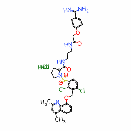 Cc1cc(C)c2cccc(OCc3c(Cl)ccc(S(=O)(=O)N4CCC[C@H]4C(=O)NCCCNC(=O)COc4ccc(C(=N)N)cc4)c3Cl)c2n1.Cl.Cl